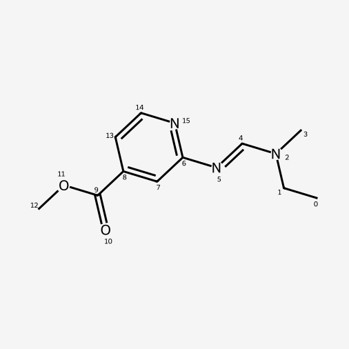 CCN(C)/C=N/c1cc(C(=O)OC)ccn1